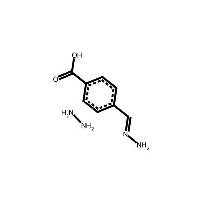 NN.NN=Cc1ccc(C(=O)O)cc1